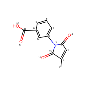 CC1=CC(=O)N(c2cccc(C(=O)O)c2)C1=O